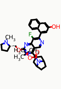 CN1CCC[C@H]1COc1nc(C2CC3CCC(C2)N3C(=O)OC(C)(C)C)c2cnc(-c3cc(O)cc4ccccc34)c(F)c2n1